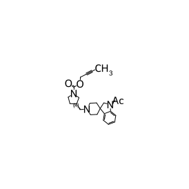 CC#CCOC(=O)N1CC[C@H](CN2CCC3(CC2)CN(C(C)=O)c2ccccc23)C1